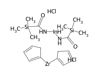 C1=CC[C]([Zr][C]2=CC=CC2)=C1.C[Si](C)(C)C(=O)[NH][InH][NH]C(=O)[Si](C)(C)C.Cl.Cl